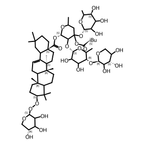 CC[C@H](C)C(=O)OC1(O[C@@H]2OC(C)[C@@H](O)C(O)C2O)CC(C)O[C@@H](OC(=O)[C@]23CCC(C)(C)CC2C2=CCC4[C@@]5(C)CC[C@H](OO[C@@H]6OC[C@@H](O)C(O)C6O)C(C)(C)C5CC[C@@]4(C)[C@]2(C)CC3)C1O[C@@H]1OC(C)[C@H](O[C@H]2OCC(O)[C@H](O)C2O)C(O)C1O